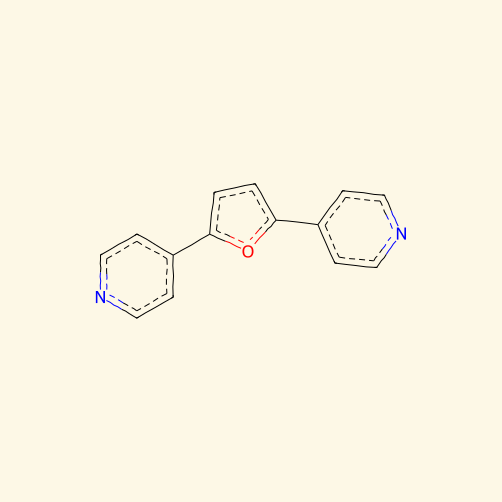 c1cc(-c2ccc(-c3ccncc3)o2)ccn1